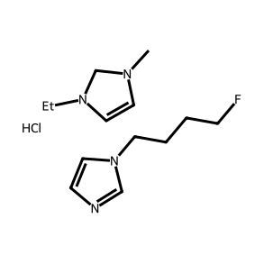 CCN1C=CN(C)C1.Cl.FCCCCn1ccnc1